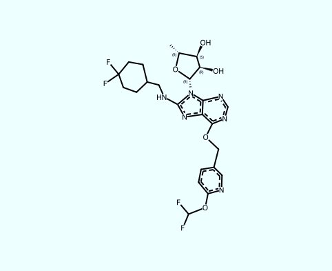 C[C@H]1O[C@@H](n2c(NCC3CCC(F)(F)CC3)nc3c(OCc4ccc(OC(F)F)nc4)ncnc32)[C@H](O)[C@@H]1O